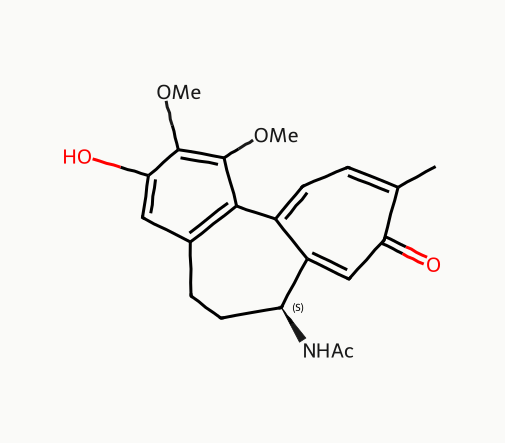 COc1c(O)cc2c(c1OC)-c1ccc(C)c(=O)cc1[C@@H](NC(C)=O)CC2